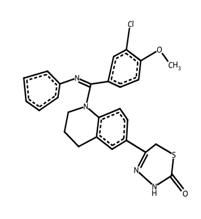 COc1ccc(/C(=N/c2ccccc2)N2CCCc3cc(C4=NNC(=O)SC4)ccc32)cc1Cl